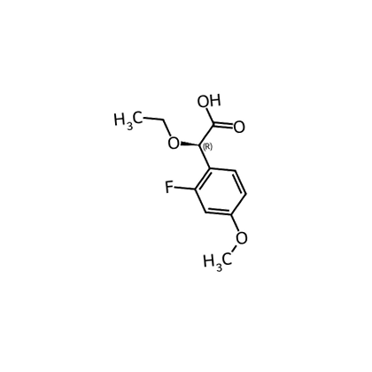 CCO[C@@H](C(=O)O)c1ccc(OC)cc1F